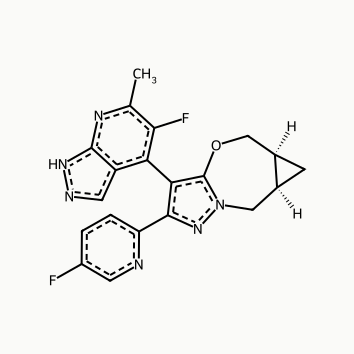 Cc1nc2[nH]ncc2c(-c2c(-c3ccc(F)cn3)nn3c2OC[C@H]2C[C@H]2C3)c1F